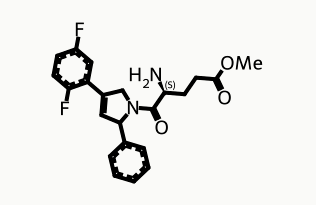 COC(=O)CC[C@H](N)C(=O)N1CC(c2cc(F)ccc2F)=CC1c1ccccc1